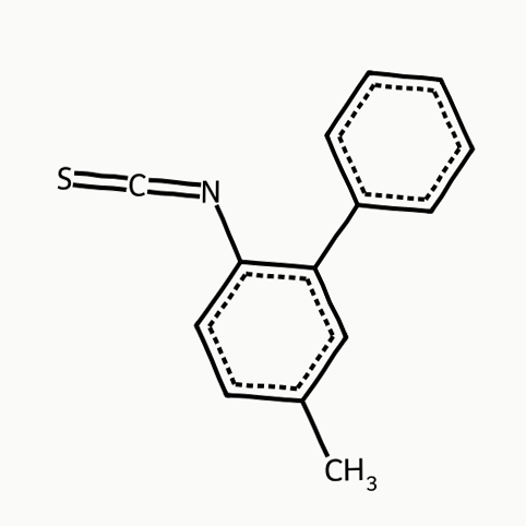 Cc1ccc(N=C=S)c(-c2ccccc2)c1